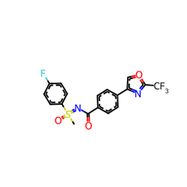 CS(=O)(=NC(=O)c1ccc(-c2coc(C(F)(F)F)n2)cc1)c1ccc(F)cc1